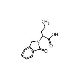 CCCC(C(=O)O)N1Cc2ccccc2C1=O